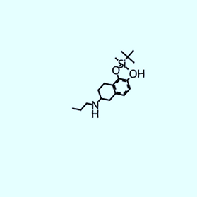 CCCNC1CCc2c(ccc(O)c2O[Si](C)(C)C(C)(C)C)C1